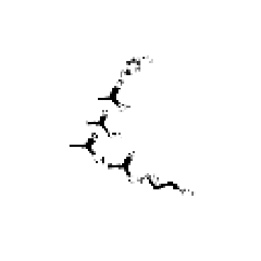 CC(=O)O.CC(=O)O.CC(=O)O.CC(=O)O.NCCN.[MgH2].[NaH]